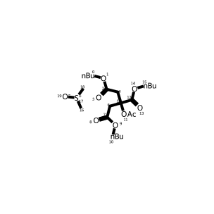 CCCCOC(=O)CC(CC(=O)OCCCC)(OC(C)=O)C(=O)OCCCC.C[S+](C)[O-]